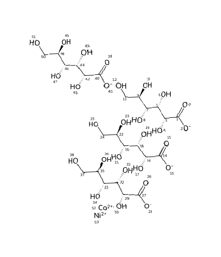 O=C([O-])[C@H](O)[C@@H](O)[C@H](O)[C@H](O)CO.O=C([O-])[C@H](O)[C@@H](O)[C@H](O)[C@H](O)CO.O=C([O-])[C@H](O)[C@@H](O)[C@H](O)[C@H](O)CO.O=C([O-])[C@H](O)[C@@H](O)[C@H](O)[C@H](O)CO.[Co+2].[Ni+2]